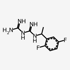 CC(NC(=N)NC(=N)N)c1cc(F)ccc1F